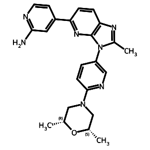 Cc1nc2ccc(-c3ccnc(N)c3)nc2n1-c1ccc(N2C[C@@H](C)O[C@@H](C)C2)nc1